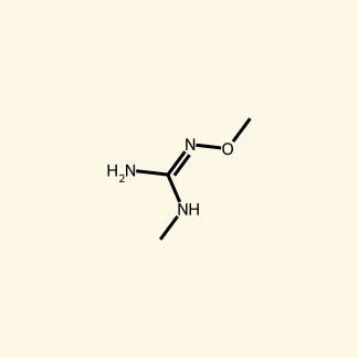 CN/C(N)=N\OC